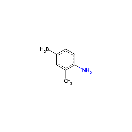 Bc1ccc(N)c(C(F)(F)F)c1